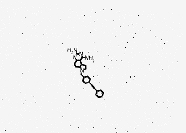 Nc1nc(N)c2c(ccc3c2ccn3Cc2ccc(C#Cc3ccccc3)cc2)n1